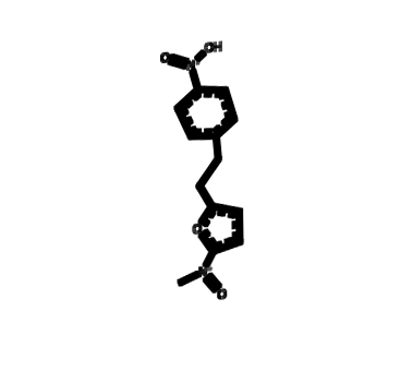 C[N+](=O)c1ccc(CCc2ccc([N+](=O)O)cc2)o1